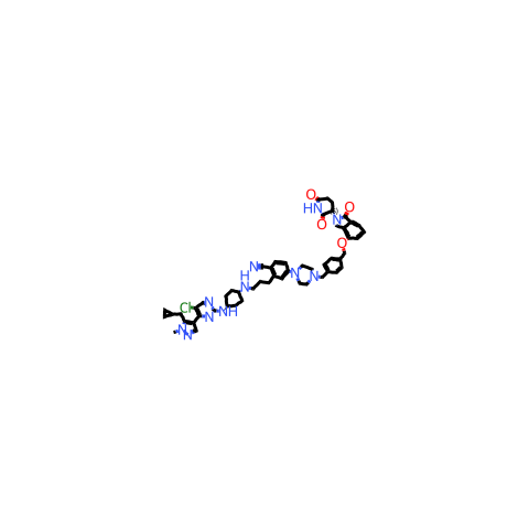 Cn1ncc(-c2nc(N[C@H]3CC[C@H](NCCCc4cc(N5CCN(Cc6ccc(COc7cccc8c7CN([C@H]7CCC(=O)NC7=O)C8=O)cc6)CC5)ccc4C#N)CC3)ncc2Cl)c1CC1CC1